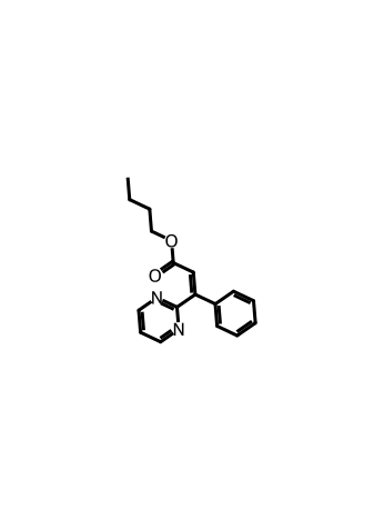 CCCCOC(=O)/C=C(/c1ccccc1)c1ncccn1